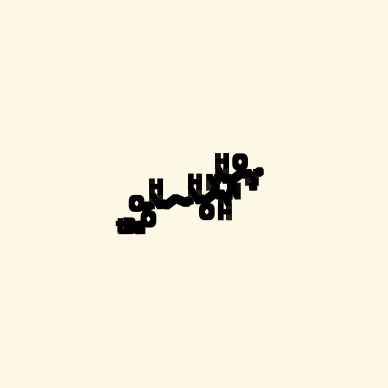 CN(C)C(=O)C1=NNC(C(=O)NCCCNC(=O)OC(C)(C)C)=NN1